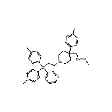 CCNCC1(c2ccc(C)cc2)CCN(CCC(c2ccc(C)cc2)(c2ccc(C)cc2)c2cccnc2)CC1